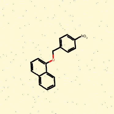 O=[N+]([O-])c1ccc(COc2cccc3ccccc23)cc1